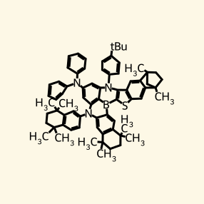 CC(C)(C)c1ccc(N2c3cc(N(c4ccccc4)c4ccccc4)cc4c3B(c3cc5c(cc3N4c3ccc4c(c3)C(C)(C)CCC4(C)C)C(C)(C)CCC5(C)C)c3sc4cc5c(cc4c32)C2(C)CCC5(C)C2)cc1